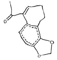 CC(=O)C1=CCCc2c1ccc1c2OCO1